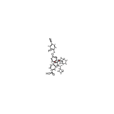 N#Cc1ccc(COc2cccc(N3CC4CCC(C3)N4Cc3nc4ccc(C(=O)O)cc4n3CC3CCO3)n2)c(F)c1